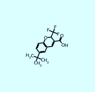 CC(C)(C)c1ccc2c(c1)C=C(C(=O)O)C(C(F)(F)F)O2